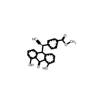 C#C[C@@H](c1ccc(C(=O)OC)cc1)C1c2cccc(O)c2C(=O)c2c(O)cccc21